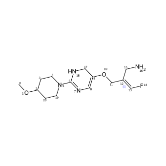 COC1CCN(C2=NC=C(OC/C(=C/F)CN)CN2)CC1